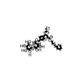 CCSC(=S)SC(CC(C)C(=O)OCCSSc1ccccn1)c1ccc(C2OC[C@H]3O[C@H](O[C@H]4O[C@H](CO)[C@@H](O)[C@H](O)[C@H]4O)[C@H](O)[C@@H](O)[C@@H]3O2)cc1